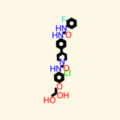 O=C(Nc1ccc(C2=CCN(C(=O)Nc3ccc(OCC(O)CO)cc3Cl)CC2)cc1)Nc1ccccc1F